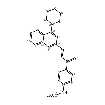 CCOC(=O)Nc1ccc(C(=O)C=Cc2cc(N3CCCCC3)c3ccccc3n2)cc1